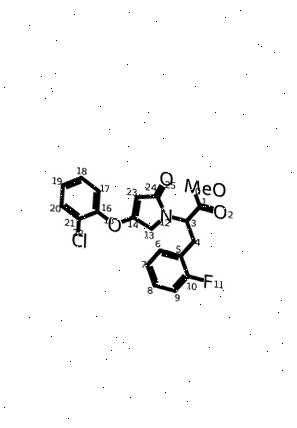 COC(=O)C(Cc1ccccc1F)N1CC(Oc2ccccc2Cl)=CC1=O